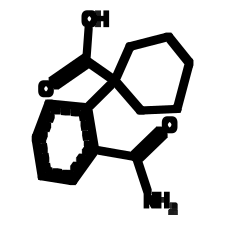 NC(=O)c1ccccc1C1(C(=O)O)CCCCC1